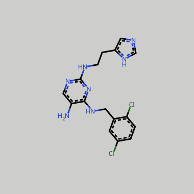 Nc1cnc(NCCc2cnc[nH]2)nc1NCc1cc(Cl)ccc1Cl